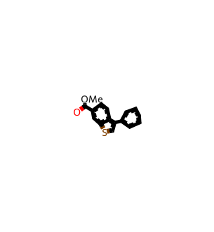 COC(=O)c1ccc2c(-c3ccccc3)csc2c1